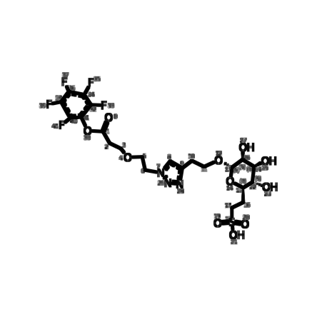 O=C(CCOCCn1cc(CCO[C@H]2O[C@H](CCS(=O)(=O)O)[C@@H](O)[C@H](O)[C@@H]2O)nn1)Oc1c(F)c(F)c(F)c(F)c1F